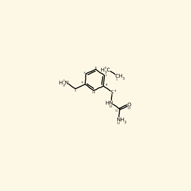 CC.NCc1cccc(SNC(N)=O)c1